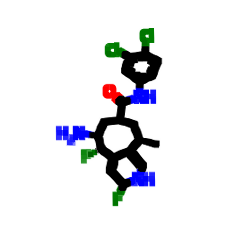 C[C@@H]1CC(C(=O)Nc2ccc(Cl)c(Cl)c2)C[C@H](N)[C@@H](F)C2=CC(F)NC=C21